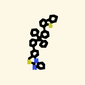 c1ccc([Si](c2ccccc2)(c2cccc(-c3ccc4c(c3)CSc3nc5ccccc5n3-4)c2)c2cccc(-c3cccc4c3sc3ccccc34)c2)cc1